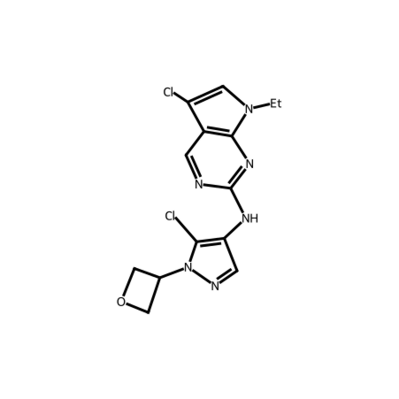 CCn1cc(Cl)c2cnc(Nc3cnn(C4COC4)c3Cl)nc21